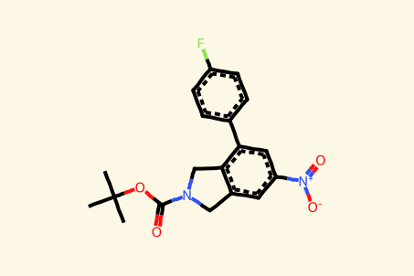 CC(C)(C)OC(=O)N1Cc2cc([N+](=O)[O-])cc(-c3ccc(F)cc3)c2C1